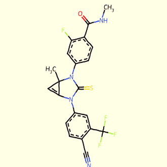 CNC(=O)c1ccc(N2C(=S)N(c3ccc(C#N)c(C(F)(F)F)c3)C3=CC32C)cc1F